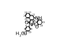 COc1ccc(NC(=O)c2cc(NC3=C(C)C(=O)CCC3)cc3ccccc23)cc1